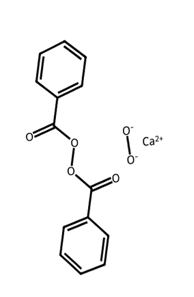 O=C(OOC(=O)c1ccccc1)c1ccccc1.[Ca+2].[O-][O-]